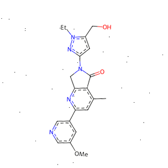 CCn1nc(N2Cc3nc(-c4cncc(OC)c4)cc(C)c3C2=O)cc1CO